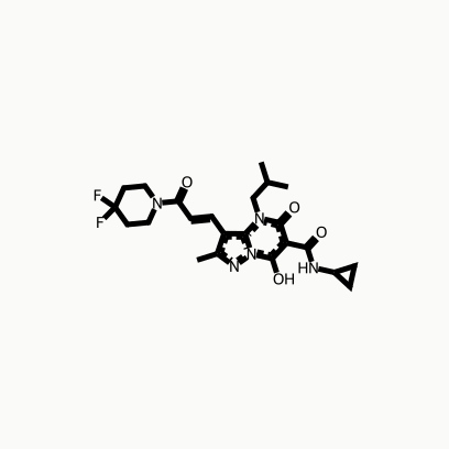 Cc1nn2c(O)c(C(=O)NC3CC3)c(=O)n(CC(C)C)c2c1C=CC(=O)N1CCC(F)(F)CC1